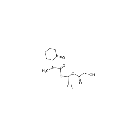 CC(OC(=O)CO)OC(=O)N(C)C1CCCCC1=O